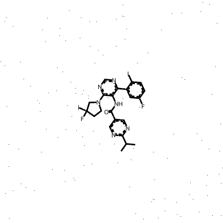 CC(C)c1ncc(C(=O)Nc2c(-c3cc(F)ccc3I)ncnc2N2CCC(F)(I)C2)cn1